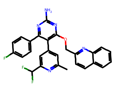 Cc1cc(-c2c(OCc3ccc4ccccc4n3)nc(N)nc2-c2ccc(F)cc2)cc(C(F)F)n1